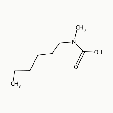 CCCCCCN(C)C(=O)O